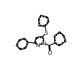 O=C(c1ccccc1)n1nc(-c2ccccc2)cc1Sc1ccccc1